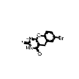 O=c1[nH]c(=S)[nH]c2c1Cc1cc(Br)ccc1O2